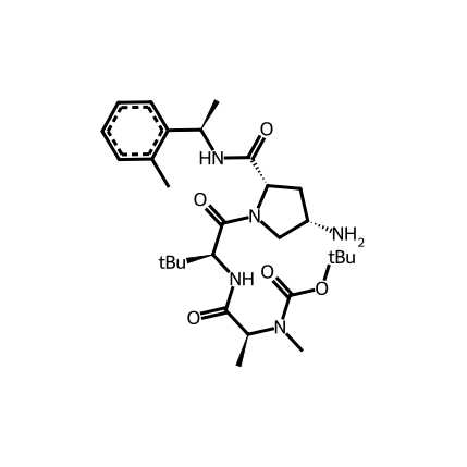 Cc1ccccc1[C@@H](C)NC(=O)[C@@H]1C[C@H](N)CN1C(=O)[C@@H](NC(=O)[C@H](C)N(C)C(=O)OC(C)(C)C)C(C)(C)C